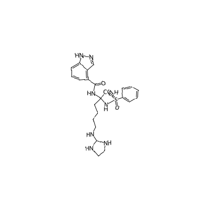 O=C(NC(CCCCNC1NCCN1)(NS(=O)(=O)c1ccccc1)C(=O)O)c1cccc2[nH]ncc12